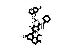 CCc1c(F)ccc2cc(O)cc(-c3ncc4c(NC5CCCCC5)nc(OC[C@@]56CCCN5C[C@H](F)C6)nc4c3F)c12